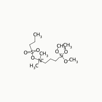 CCCS(=O)(=O)O[N+](C)(C)CCC[Si](OC)(OC)OC